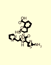 Nc1nc(C(NC(=O)Cc2ncccn2)C(=O)N[C@H]2Cc3cccc(C(=O)O)c3OB2O)cs1